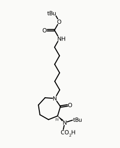 CC(C)(C)OC(=O)NCCCCCCN1CCCC[C@H](N(C(=O)O)C(C)(C)C)C1=O